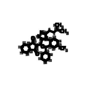 CN(C)CCc1nnc(CN2C(=O)c3ccccc3C2=O)n1-c1ccc(C(F)(F)F)cc1C(=O)c1ccccc1